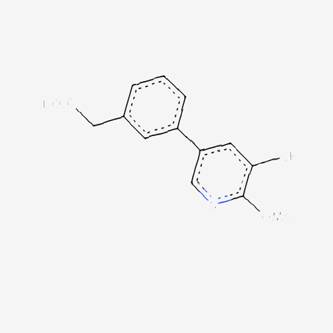 COc1ncc(-c2cccc(CC(=O)O)c2)cc1C(F)(F)F